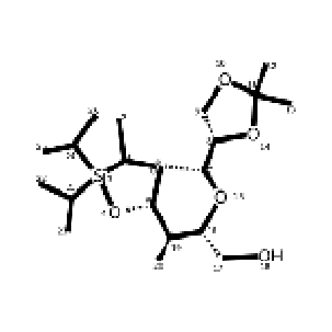 CC(C)[Si](O[C@@H]1C[C@H]([C@@H]2COC(C)(C)O2)O[C@H](CO)[C@H]1C)(C(C)C)C(C)C